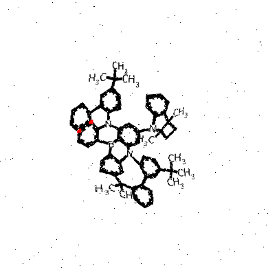 CC(C)(C)c1ccc(N2c3ccccc3B3c4ccc5cc4N(c4ccc(C(C)(C)C)cc4-c4ccccc4C5(C)C)c4cc(N5c6ccccc6C6(C)CCC56C)cc2c43)c(-c2ccccc2)c1